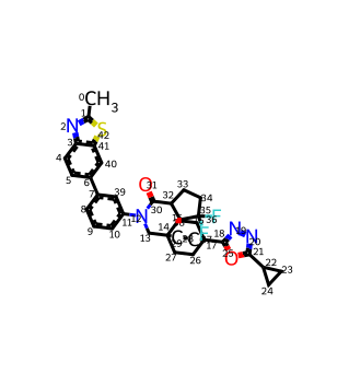 Cc1nc2ccc(-c3cccc(N(CC45CCC(c6nnc(C7CC7)o6)(CC4)CC5)C(=O)C4CCC(F)(F)C4)c3)cc2s1